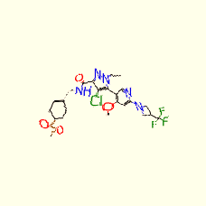 CCn1nc(C(=O)NC[C@H]2CC[C@H](S(C)(=O)=O)CC2)c(Cl)c1-c1cnc(N2CC(C(F)(F)F)C2)cc1OC